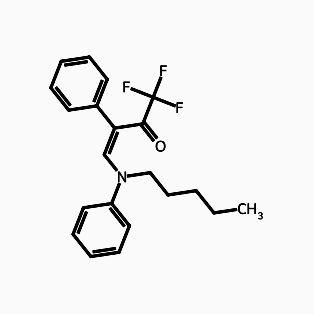 CCCCCN(/C=C(\C(=O)C(F)(F)F)c1ccccc1)c1ccccc1